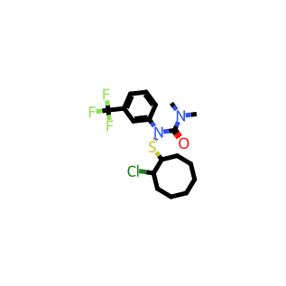 CN(C)C(=O)N(SC1CCCCCCC1Cl)c1cccc(C(F)(F)F)c1